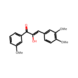 COc1cccc(C(=O)C(O)=Cc2ccc(OC)c(OC)c2)c1